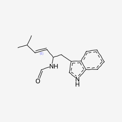 CC(C)/C=C/C(Cc1c[nH]c2ccccc12)NC=O